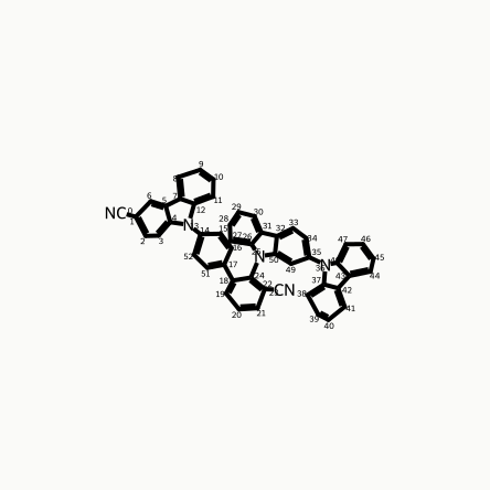 N#Cc1ccc2c(c1)c1ccccc1n2-c1ccc(-c2cccc(C#N)c2-n2c3ccccc3c3ccc(-n4c5ccccc5c5ccccc54)cc32)cc1